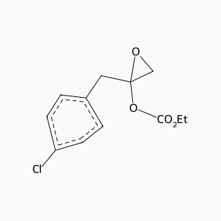 CCOC(=O)OC1(Cc2ccc(Cl)cc2)CO1